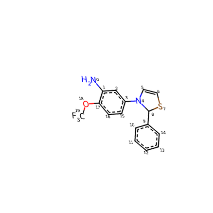 Nc1cc(N2C=CSC2c2ccccc2)ccc1OC(F)(F)F